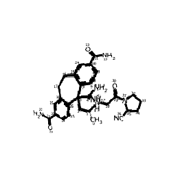 C[C@H](CC1(C(=N)N)c2ccc(C(N)=O)cc2CCc2cc(C(N)=O)ccc21)NCC(=O)N1CCCC1C#N